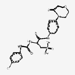 O=C(Nc1ccc(Cl)cc1)NC(CP(=O)(O)O)C(=O)Nc1ccc(N2CCOCC2=O)cc1